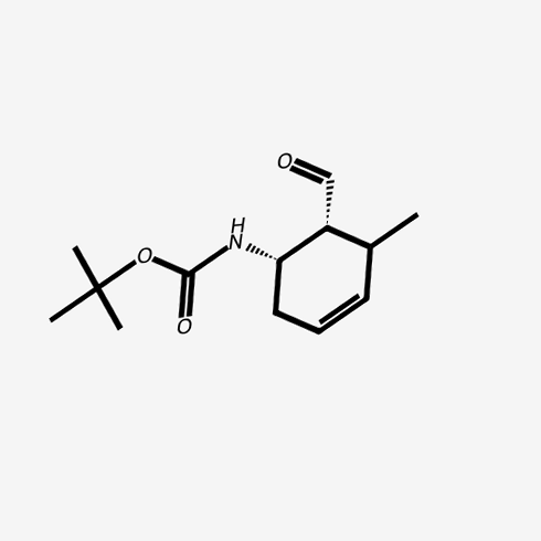 CC1C=CC[C@H](NC(=O)OC(C)(C)C)[C@@H]1C=O